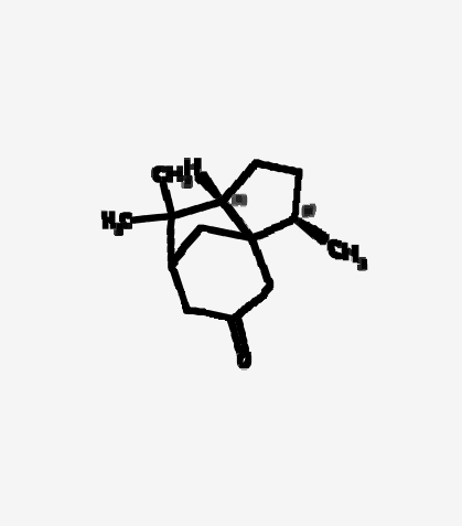 C[C@@H]1CC[C@H]2C(C)(C)C3CC(=O)CC12C3